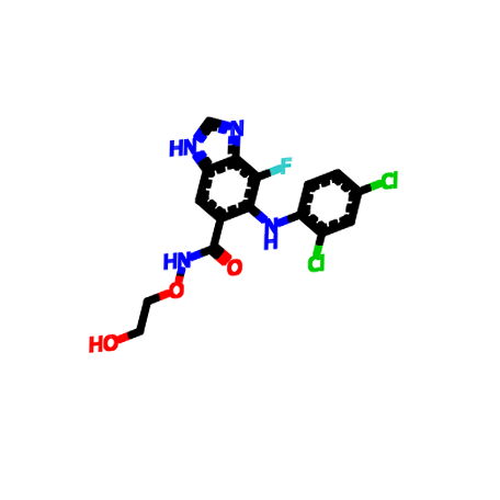 O=C(NOCCO)c1cc2[nH]cnc2c(F)c1Nc1ccc(Cl)cc1Cl